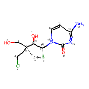 CO[C@@](CO)(CCl)[C@@H](O)[C@@H](F)n1ccc(N)nc1=O